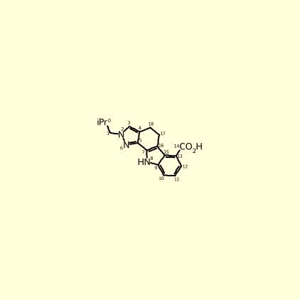 CC(C)Cn1cc2c(n1)-c1[nH]c3cccc(C(=O)O)c3c1CC2